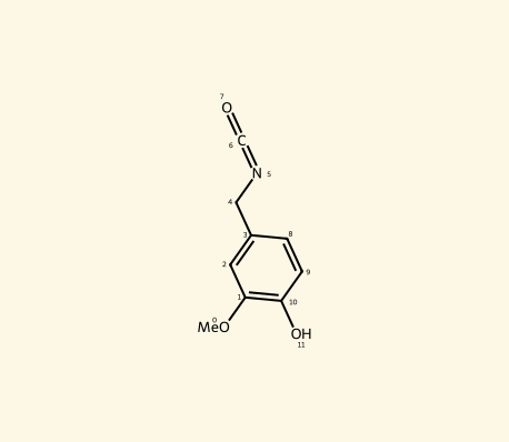 COc1cc(CN=C=O)ccc1O